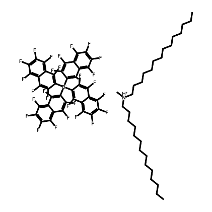 CCCCCCCCCCCCCC[NH+](C)CCCCCCCCCCCCCC.Fc1c(F)c(F)c2c(F)c([B-](c3c(F)c(F)c4c(F)c(F)c(F)c(F)c4c3F)(c3c(F)c(F)c4c(F)c(F)c(F)c(F)c4c3F)c3c(F)c(F)c4c(F)c(F)c(F)c(F)c4c3F)c(F)c(F)c2c1F